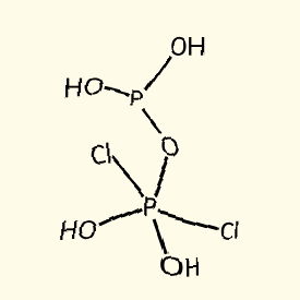 OP(O)OP(O)(O)(Cl)Cl